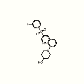 O=S(=O)(c1cccc(F)c1)c1cnc2c(N3CCC(O)CC3)cccc2c1